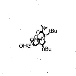 CCCCC1CN([C@@H](CC(C)(C)C)C(=O)N(C)C)C(=O)C1CN(O)C=O